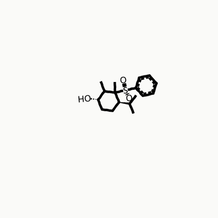 CC(C)[C@H]1CC[C@H](O)C(C)C1(C)S(=O)(=O)c1ccccc1